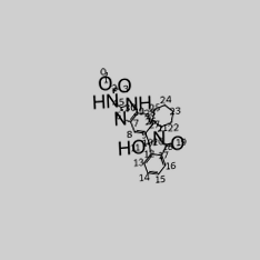 COC(=O)Nc1nc2cc(C3(O)c4ccccc4C(=O)N3C3CCCCC3)ccc2[nH]1